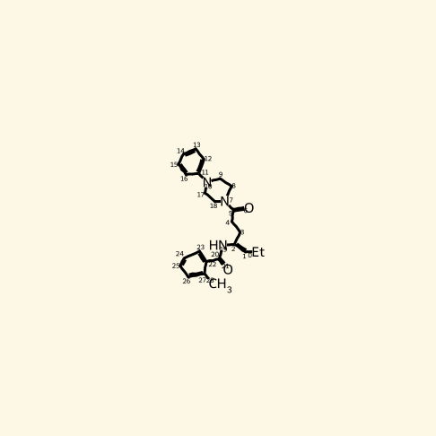 CC/C=C(\CCC(=O)N1CCN(c2ccccc2)CC1)NC(=O)c1ccccc1C